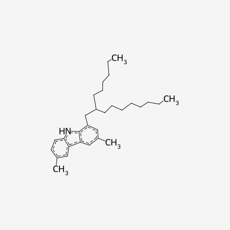 CCCCCCCCC(CCCCCC)Cc1cc(C)cc2c1[nH]c1ccc(C)cc12